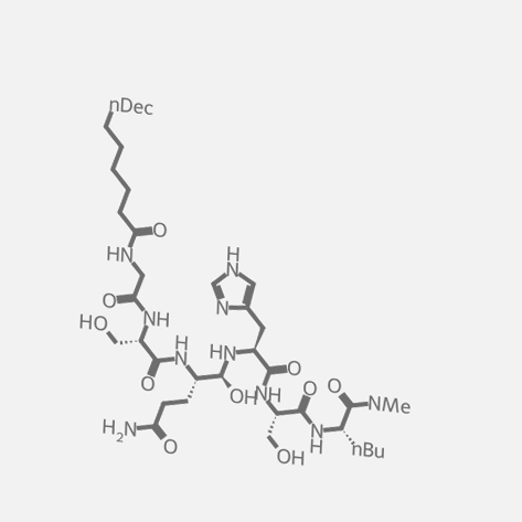 CCCCCCCCCCCCCCCC(=O)NCC(=O)N[C@@H](CO)C(=O)N[C@@H](CCC(N)=O)[C@H](O)N[C@@H](Cc1c[nH]cn1)C(=O)N[C@@H](CO)C(=O)N[C@@H](CCCC)C(=O)NC